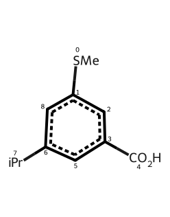 CSc1cc(C(=O)O)cc(C(C)C)c1